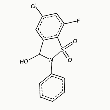 O=S1(=O)c2c(F)cc(Cl)cc2C(O)N1c1ccccc1